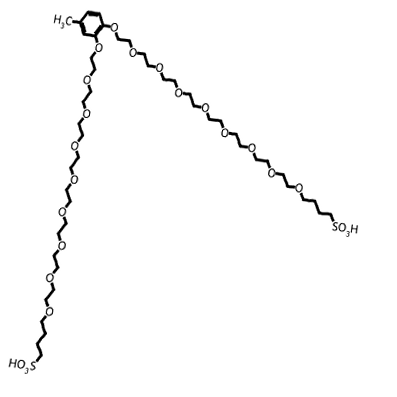 Cc1ccc(OCCOCCOCCOCCOCCOCCOCCOCCOCCCCS(=O)(=O)O)c(OCCOCCOCCOCCOCCOCCOCCOCCOCCCCS(=O)(=O)O)c1